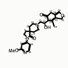 COc1cc(N2CCC3(CCN(C[C@H](O)C4C(=O)CC5=COCC5=C4C)CC3)C2=O)ccn1